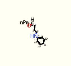 CCCO[SiH](C)CCCNc1ccccc1